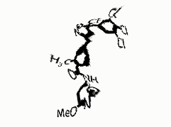 COC1=NO[C@H](NC(=O)c2ccc(C3=NO[C@@](c4cc(Cl)c(Cl)c(Cl)c4)(C(F)(F)F)C3)cc2C)C1